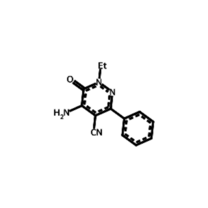 CCn1nc(-c2ccccc2)c(C#N)c(N)c1=O